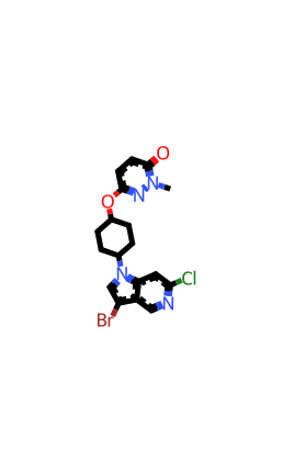 Cn1nc(OC2CCC(n3cc(Br)c4cnc(Cl)cc43)CC2)ccc1=O